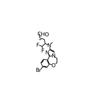 CN(c1cn2c(n1)-c1ccc(Br)cc1OCC2)C(CSC=O)C(F)F